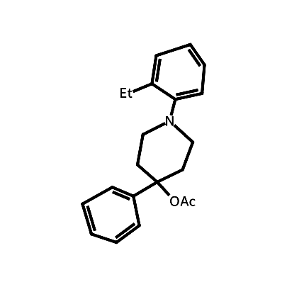 CCc1ccccc1N1CCC(OC(C)=O)(c2ccccc2)CC1